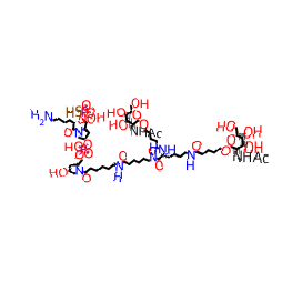 CC(=O)N[C@@H]1C(OCCCCC(=O)NCCCC[C@H](NC(=O)CCCCOC2OC(CO)[C@H](O)[C@H](O)[C@@H]2NC(C)=O)C(=O)NCCCCCC(=O)NCCCCCC(=O)N2CC(O)CC2COP(=O)(O)OC2CC(COP(=O)(S)OO)N(C(=O)CCCCCN)C2)OC(CO)[C@H](O)[C@@H]1O